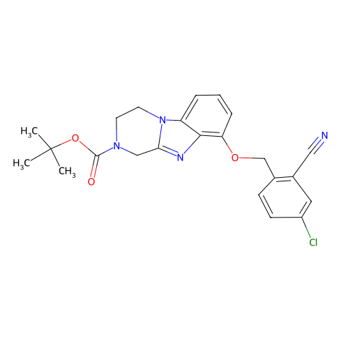 CC(C)(C)OC(=O)N1CCn2c(nc3c(OCc4ccc(Cl)cc4C#N)cccc32)C1